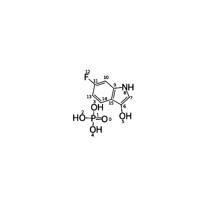 O=P(O)(O)O.Oc1c[nH]c2cc(F)ccc12